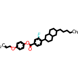 C=CCOc1ccc(OC(=O)c2ccc(C3CCC4CC(CCCCC)CCC4C3)c(F)c2)cc1